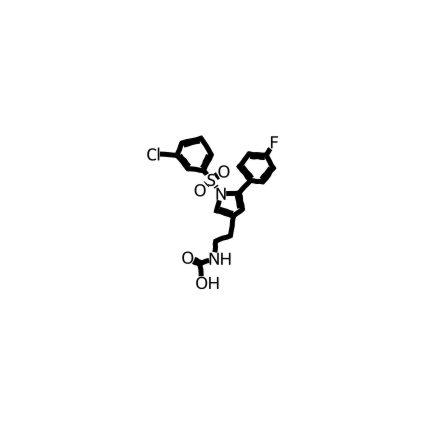 O=C(O)NCCc1cc(-c2ccc(F)cc2)n(S(=O)(=O)c2cccc(Cl)c2)c1